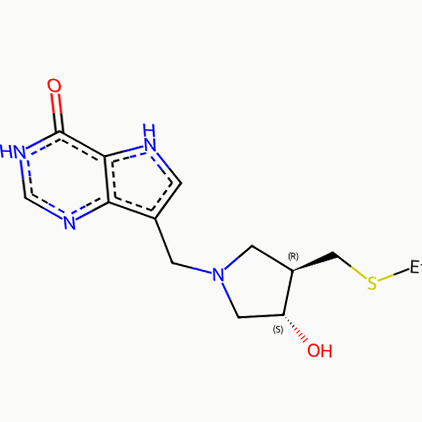 CCSC[C@@H]1CN(Cc2c[nH]c3c(=O)[nH]cnc23)C[C@H]1O